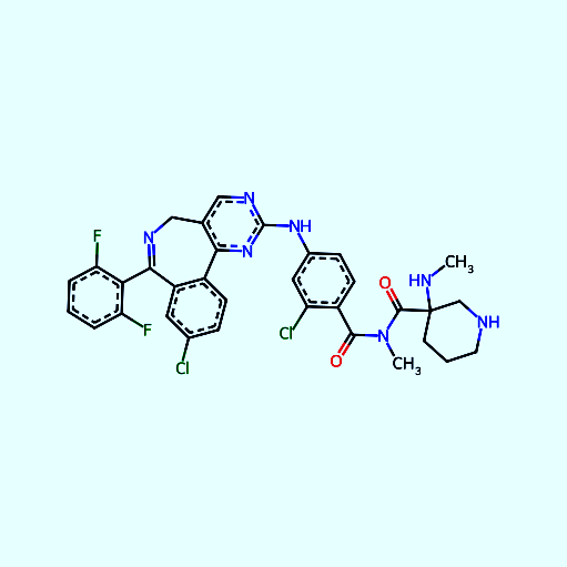 CNC1(C(=O)N(C)C(=O)c2ccc(Nc3ncc4c(n3)-c3ccc(Cl)cc3C(c3c(F)cccc3F)=NC4)cc2Cl)CCCNC1